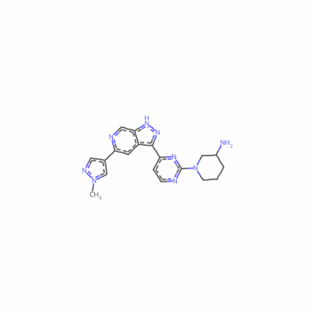 Cn1cc(-c2cc3c(-c4ccnc(N5CCCC(N)C5)n4)n[nH]c3cn2)cn1